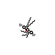 CCCCCCCCC1(CCCCCCCC)c2cc(Br)ccc2-c2cc3c(cc21)-c1ccc(Br)cc1C3(CC(CC)CCCC)CC(CC)CCCC